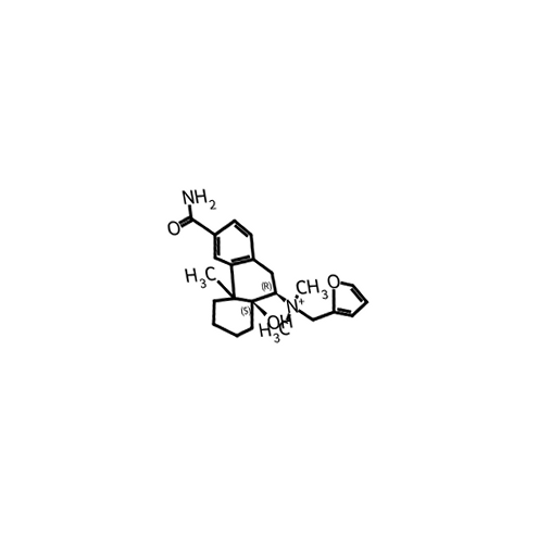 CC12CCCC[C@@]1(O)[C@H]([N+](C)(C)Cc1ccco1)Cc1ccc(C(N)=O)cc12